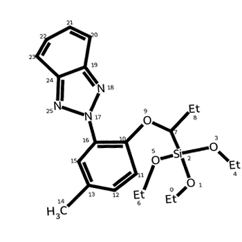 CCO[Si](OCC)(OCC)C(CC)Oc1ccc(C)cc1-n1nc2ccccc2n1